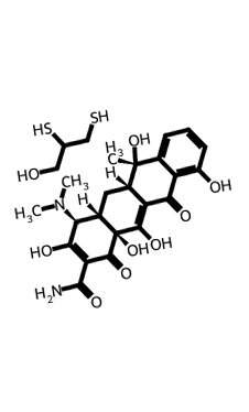 CN(C)[C@@H]1C(O)=C(C(N)=O)C(=O)[C@@]2(O)C(O)=C3C(=O)c4c(O)cccc4[C@@](C)(O)[C@H]3C[C@@H]12.OCC(S)CS